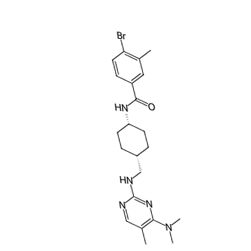 Cc1cc(C(=O)N[C@H]2CC[C@@H](CNc3ncc(C)c(N(C)C)n3)CC2)ccc1Br